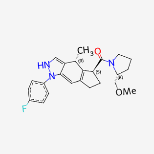 COC[C@H]1CCCN1C(=O)[C@H]1CCC2=C1[C@@H](C)C1=CNN(c3ccc(F)cc3)C1=C2